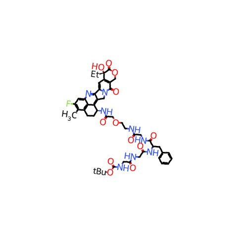 CC[C@@]1(O)C(=O)OCc2c1cc1n(c2=O)Cc2c-1nc1cc(F)c(C)c3c1c2[C@@H](NC(=O)COCCNC(=O)CNC(=O)C(Cc1ccccc1)NC(=O)CNC(=O)CNC(=O)OC(C)(C)C)CC3